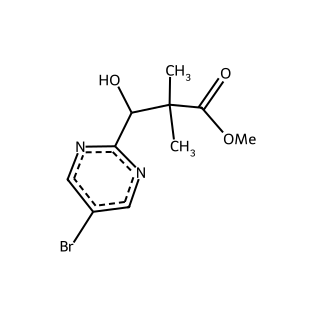 COC(=O)C(C)(C)C(O)c1ncc(Br)cn1